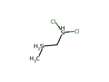 C[SiH2]C[SiH](Cl)Cl